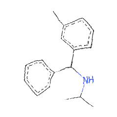 Cc1cccc(C(NC(C)C)c2ccccc2)c1